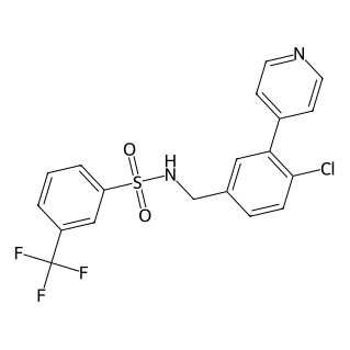 O=S(=O)(NCc1ccc(Cl)c(-c2ccncc2)c1)c1cccc(C(F)(F)F)c1